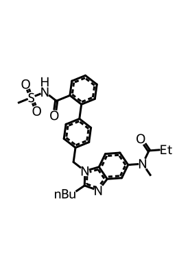 CCCCc1nc2cc(N(C)C(=O)CC)ccc2n1Cc1ccc(-c2ccccc2C(=O)NS(C)(=O)=O)cc1